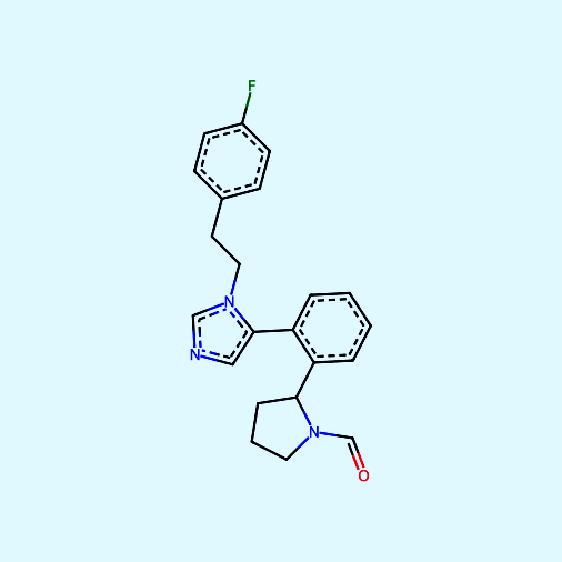 O=CN1CCCC1c1ccccc1-c1cncn1CCc1ccc(F)cc1